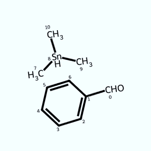 O=Cc1ccccc1.[CH3][SnH]([CH3])[CH3]